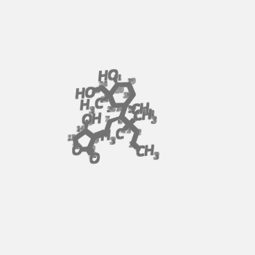 CCCC(C)(C)[C@@H](C/C=C1/C(=O)OC[C@H]1O)[C@]1(C)CC[C@@H](O)[C@@](C)(CO)C1